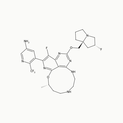 C[C@H]1CCNCCNc2nc(OC[C@@]34CCCN3C[C@H](F)C4)nc3c(F)c(-c4cc(N)cnc4C(F)(F)F)nc(c23)O1